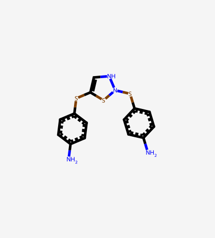 Nc1ccc(SC2=CNN(Sc3ccc(N)cc3)S2)cc1